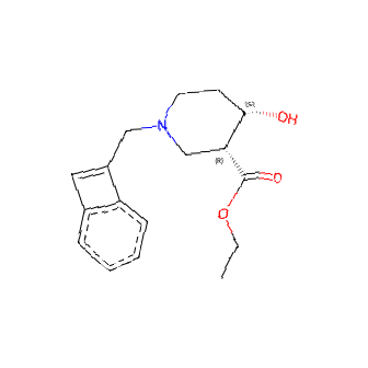 CCOC(=O)[C@@H]1CN(CC2=Cc3ccccc32)CC[C@@H]1O